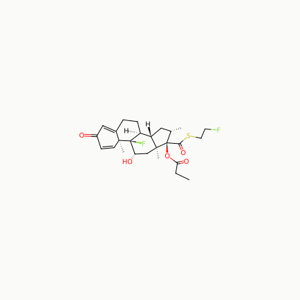 CCC(=O)O[C@]1(C(=O)SCCF)[C@@H](C)C[C@H]2[C@@H]3CCC4=CC(=O)C=C[C@]4(C)[C@@]3(F)[C@@H](O)C[C@@]21C